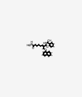 CC(NC(=O)/C(=C/CCCCC(=O)NO)COc1cccc2ccccc12)C1C=CCCC1